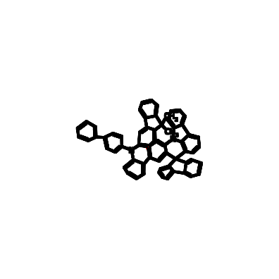 CC1(C)c2ccccc2-c2cc(N(c3ccc(-c4ccccc4)cc3)c3ccccc3-c3ccc4c(c3)C3(c5ccccc5-c5ccccc53)c3cccc5c6ccccc6n-4c35)ccc21